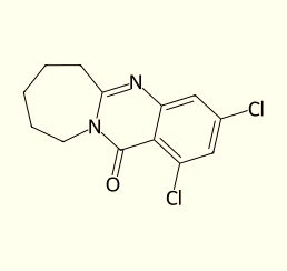 O=c1c2c(Cl)cc(Cl)cc2nc2n1CCCCC2